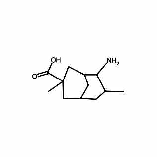 CC1CC2CC(CC(C)(C(=O)O)C2)C1N